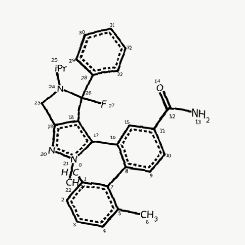 Cc1cccc(C)c1-c1ccc(C(N)=O)cc1-c1c2c(nn1C)CN(C(C)C)C2(F)c1ccccc1